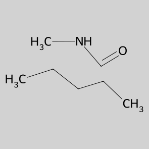 CCCCC.CNC=O